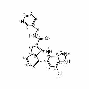 O=C(NCc1cccnc1)c1oc2cnccc2c1Nc1ccc(Cl)c2[nH]ncc12